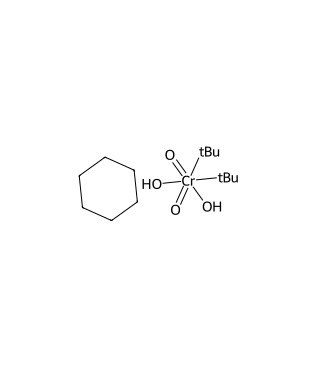 C1CCCCC1.C[C](C)(C)[Cr](=[O])(=[O])([OH])([OH])[C](C)(C)C